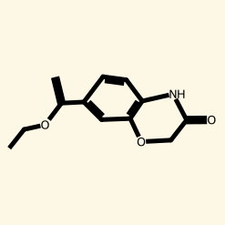 C=C(OCC)c1ccc2c(c1)OCC(=O)N2